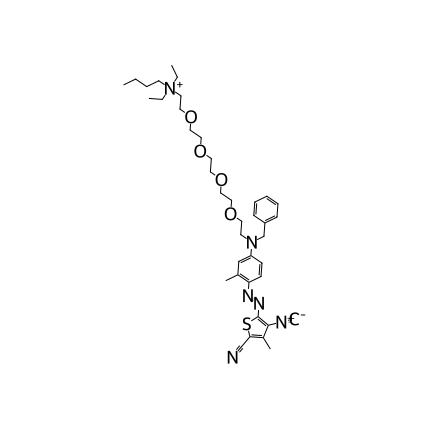 [C-]#[N+]c1c(/N=N/c2ccc(N(CCOCCOCCOCCOCC[N+](CC)(CC)CCCC)Cc3ccccc3)cc2C)sc(C#N)c1C